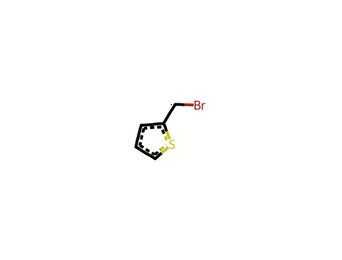 Br[CH]c1cccs1